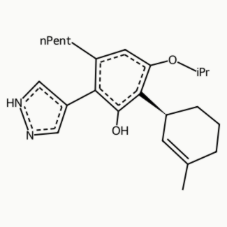 CCCCCc1cc(OC(C)C)c([C@@H]2C=C(C)CCC2)c(O)c1-c1cn[nH]c1